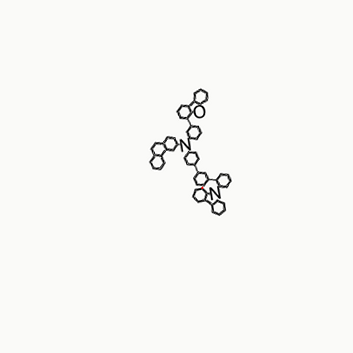 c1cc(-c2ccc(N(c3cccc(-c4cccc5c4oc4ccccc45)c3)c3ccc4ccc5ccccc5c4c3)cc2)cc(-c2ccccc2-n2c3ccccc3c3ccccc32)c1